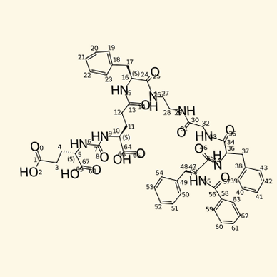 O=C(O)CC[C@H](NC(=O)N[C@@H](CCC(=O)N[C@@H](Cc1ccccc1)C(=O)NCCNC(=O)CNC(=O)C(Cc1ccccc1)NC(=O)[C@H](Cc1ccccc1)NC(=O)c1ccccc1)C(=O)O)C(=O)O